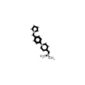 CN(C)CC1CCN(c2ccc(CN3CCCC3)cc2)CC1